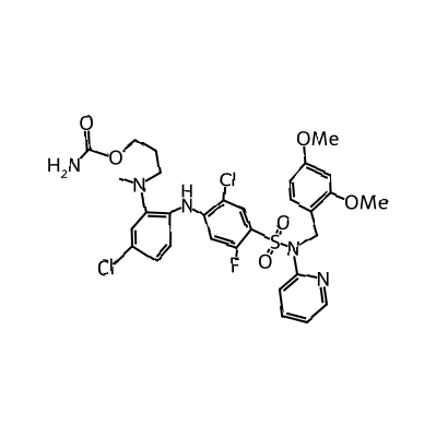 COc1ccc(CN(c2ccccn2)S(=O)(=O)c2cc(Cl)c(Nc3ccc(Cl)cc3N(C)CCCOC(N)=O)cc2F)c(OC)c1